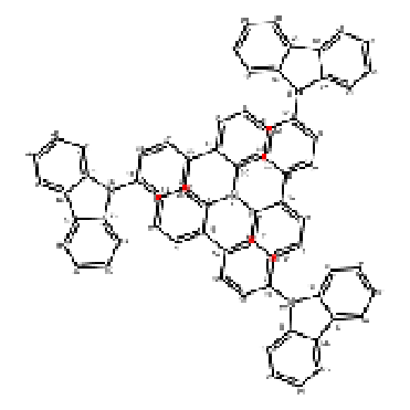 c1ccc(N(c2ccccc2-c2ccc(-n3c4ccccc4c4ccccc43)cc2)c2ccccc2-c2ccc(-n3c4ccccc4c4ccccc43)cc2)c(-c2ccc(-n3c4ccccc4c4ccccc43)cc2)c1